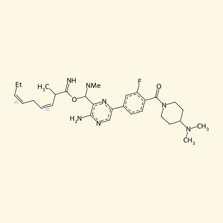 CC/C=C\C/C=C\C(C)C(=N)OC(NC)c1nc(-c2ccc(C(=O)N3CCC(N(C)C)CC3)c(F)c2)cnc1N